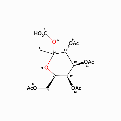 CC(=O)OC[C@H]1OC(C)(OC(=O)O)[C@H](OC(C)=O)[C@@H](OC(C)=O)[C@H]1OC(C)=O